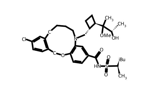 CC[C@H](C)[C@@H](C)S(=O)(=O)NC(=O)c1ccc2c(c1)N(C[C@@H]1CC[C@H]1C(C)(OC)[C@H](C)O)CCCCc1cc(Cl)ccc1CO2